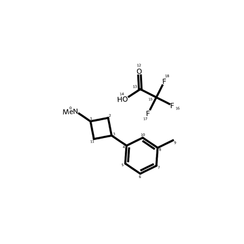 CNC1CC(c2cccc(C)c2)C1.O=C(O)C(F)(F)F